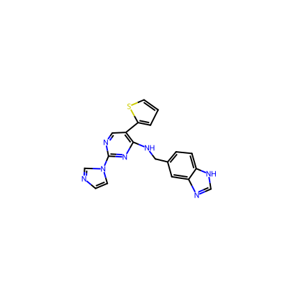 c1csc(-c2cnc(-n3ccnc3)nc2NCc2ccc3[nH]cnc3c2)c1